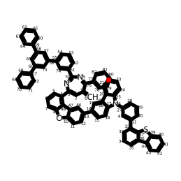 C=C1C=C(c2cccc3oc4ccc(-c5ccc6c(c5)c5ccccc5n6-c5cccc(-c6cccc7c6sc6ccccc67)c5)cc4c23)N=C(c2cccc(-c3cc(-c4ccccc4)cc(-c4ccccc4)c3)c2)N=C1c1ccccc1